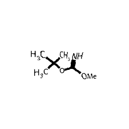 COC(=N)OC(C)(C)C